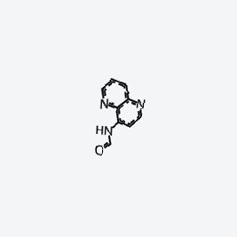 O=CNc1ccnc2cccnc12